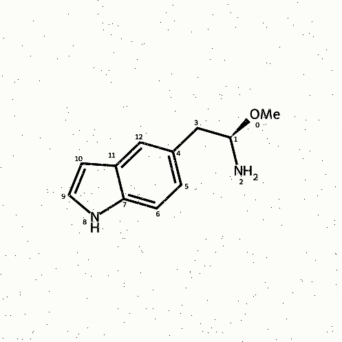 CO[C@@H](N)Cc1ccc2[nH]ccc2c1